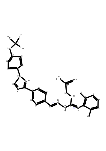 Cc1cccc(C)c1/N=C(/N/N=C/c1ccc(-c2ncn(-c3ccc(OC(F)(F)F)cc3)n2)cc1)SCC(=O)O